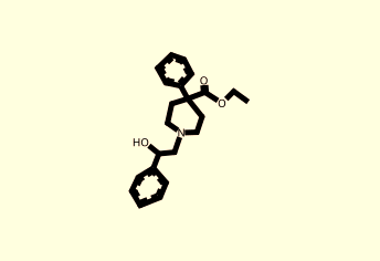 CCOC(=O)C1(c2ccccc2)CCN(CC(O)c2ccccc2)CC1